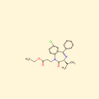 CCOC(=O)CCN1C(=O)[C@H](C(C)C)N=C(c2ccccc2)c2cc(Cl)ccc21